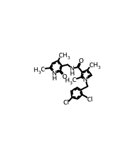 Cc1cc(C)c(CNC(=O)c2c(C)cn(Cc3ccc(Cl)cc3Cl)c2C)c(=O)[nH]1